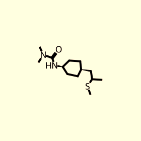 CSC(C)C[C@H]1CC[C@@H](NC(=O)N(C)C)CC1